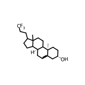 CC12CCC3[C@@H](CC=C4C[C@@H](O)CC[C@@]43C)C1CCC2CCC(F)(F)F